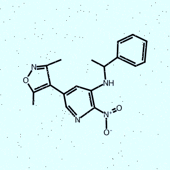 Cc1noc(C)c1-c1cnc([N+](=O)[O-])c(NC(C)c2ccccc2)c1